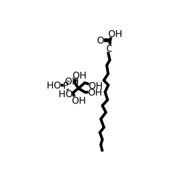 CCCCCCCCCCCCCCCCCC(=O)O.OCC(CO)(CO)CO.OP(O)O